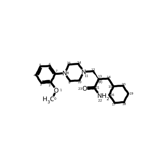 COc1ccccc1N1CCN(C[C@@H](CC2CCCCC2)C(N)=O)CC1